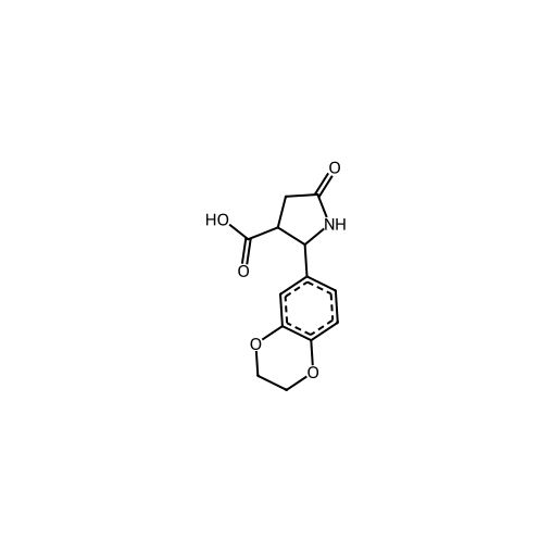 O=C1CC(C(=O)O)C(c2ccc3c(c2)OCCO3)N1